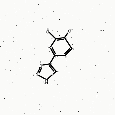 Clc1ccc(-c2c[nH]nn2)cc1Cl